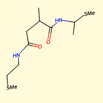 CSCCNC(=O)CC(C)C(=O)NC(C)SC